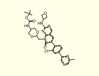 Cc1cncc(-c2ccc(-c3cc4cnc(NC5COC5)nc4n(CC4OCC(NC(=O)OC(C)(C)C)CO4)c3=O)c(Cl)c2)n1